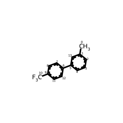 Cc1cccc(-c2ccc(C(F)(F)F)cc2)c1